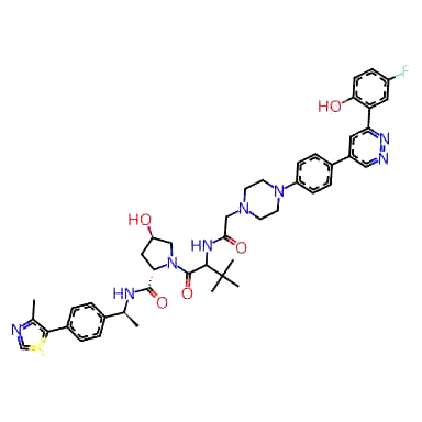 Cc1ncsc1-c1ccc([C@H](C)NC(=O)[C@@H]2C[C@@H](O)CN2C(=O)C(NC(=O)CN2CCN(c3ccc(-c4cnnc(-c5cc(F)ccc5O)c4)cc3)CC2)C(C)(C)C)cc1